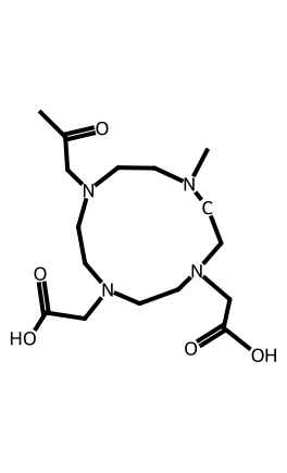 CC(=O)CN1CCN(C)CCN(CC(=O)O)CCN(CC(=O)O)CC1